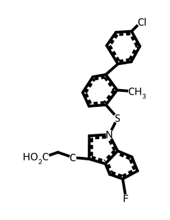 Cc1c(Sn2cc(CCC(=O)O)c3cc(F)ccc32)cccc1-c1ccc(Cl)cc1